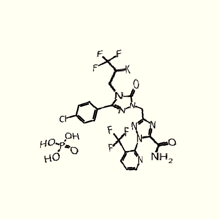 NC(=O)c1nc(Cn2nc(-c3ccc(Cl)cc3)n(C[CH]([K])C(F)(F)F)c2=O)nn1-c1ncccc1C(F)(F)F.O=P(O)(O)O